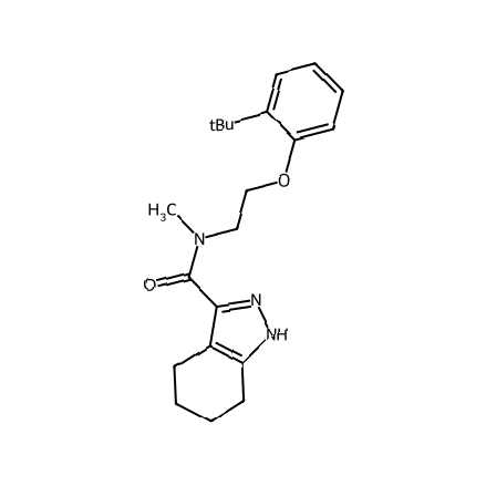 CN(CCOc1ccccc1C(C)(C)C)C(=O)c1n[nH]c2c1CCCC2